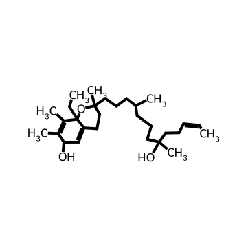 C/C=C\CCC(C)(O)CCCC(C)CCCC1(C)CCC2=CC(O)C(C)=C(C)C2(CC)O1